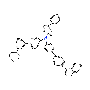 c1ccc(-c2ccc(N(c3ccc(-c4ccc(-c5cccc6ccccc56)cc4)cc3)c3ccc(-c4cccc(C5CCCCC5)c4)cc3)cc2)cc1